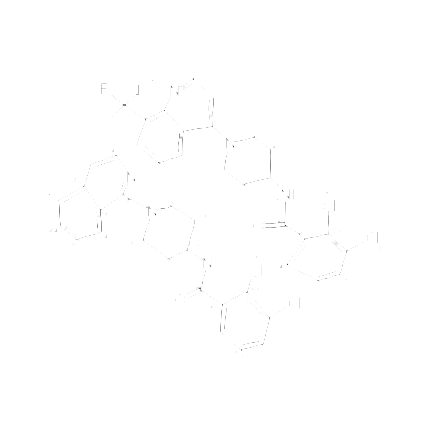 O=C(NC1CCN(c2ccnc3c(C(F)(F)F)cccc23)CC1)c1cccc(Cl)c1Cl.O=C(NC1CCN(c2nccc3ccccc23)CC1)c1cccc(Cl)c1Cl